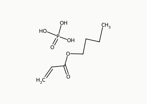 C=CC(=O)OCCCC.O=P(O)(O)O